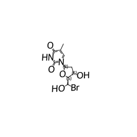 Cc1cn([C@H]2C[C@H](O)[C@@H](C(O)Br)O2)c(=O)[nH]c1=O